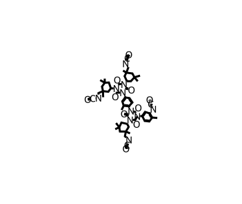 Cc1ccc(-n2c(=O)n(-c3ccc(-n4c(=O)n(C5CC(C)(C)CC(C)(CN=C=O)C5)c(=O)n(C5CC(C)(C)CC(C)(CN=C=O)C5)c4=O)cc3C)c(=O)n(C3CC(C)(C)CC(C)(CN=C=O)C3)c2=O)cc1N=C=O